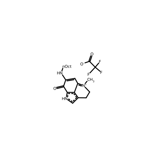 CCCCCCCCNC1=CC2=[N+](C)CCc3c[nH]c(c32)C1=O.O=C([O-])C(F)(F)F